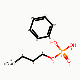 CCCCCCCCCCCCOP(=O)(O)O.c1ccccc1